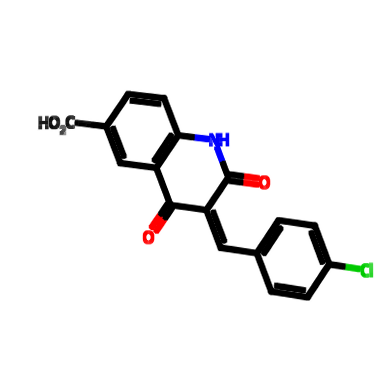 O=C1Nc2ccc(C(=O)O)cc2C(=O)/C1=C/c1ccc(Cl)cc1